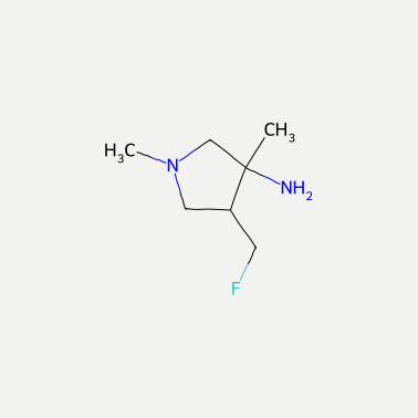 CN1CC(CF)C(C)(N)C1